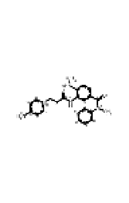 CNc1ccc(C(=O)N(C)c2ccccc2)cc1NC(=O)CC[n+]1ccc(N)cc1